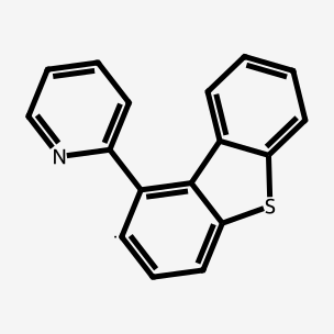 [c]1ccc2sc3ccccc3c2c1-c1ccccn1